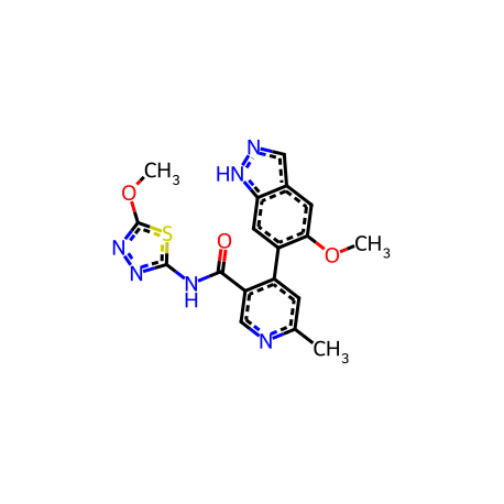 COc1nnc(NC(=O)c2cnc(C)cc2-c2cc3[nH]ncc3cc2OC)s1